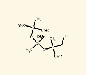 CO[Si](C)(CO)O[Si](C)(OC)O[Si](C)(OC)OC